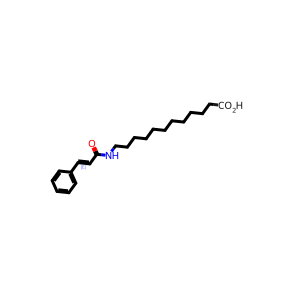 O=C(O)CCCCCCCCCCCNC(=O)/C=C/c1ccccc1